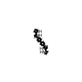 c1cc(-c2ncc(C3CCCN3)[nH]2)ccc1-c1ccc(-c2ncc(C3CCCN3)[nH]2)cc1